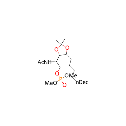 CCCCCCCCCCCCCC[C@H]1OC(C)(C)O[C@H]1[C@H](COP(=O)(OC)OC)NC(C)=O